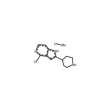 Clc1nccc2[nH]c(C3CCNCC3)cc12.[Li][CH2]CCC